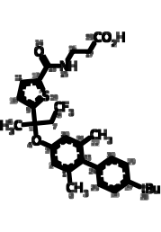 Cc1cc(OC(C)(CC(F)(F)F)c2ccc(C(=O)NCCC(=O)O)s2)cc(C)c1-c1ccc(C(C)(C)C)cc1